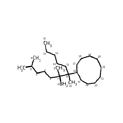 BC(C)(CCCC(C)C)C(C)(CCCCC)C1CCCCCCCCC1